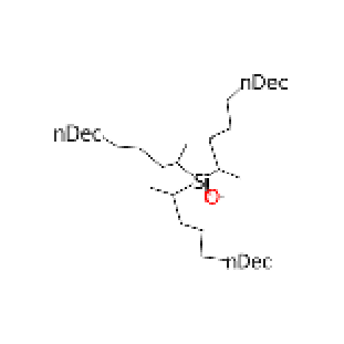 CCCCCCCCCCCCCC(C)[Si]([O])(C(C)CCCCCCCCCCCCC)C(C)CCCCCCCCCCCCC